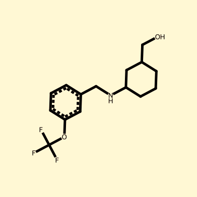 OCC1CCCC(NCc2cccc(OC(F)(F)F)c2)C1